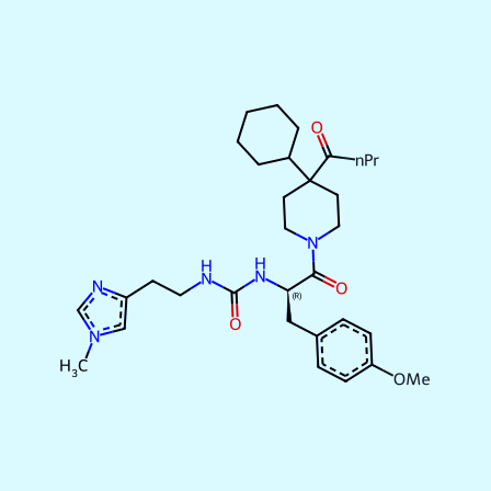 CCCC(=O)C1(C2CCCCC2)CCN(C(=O)[C@@H](Cc2ccc(OC)cc2)NC(=O)NCCc2cn(C)cn2)CC1